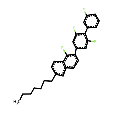 CCCCCCCc1ccc2c(F)c(-c3cc(F)c(-c4cccc(F)c4)c(F)c3)ccc2c1